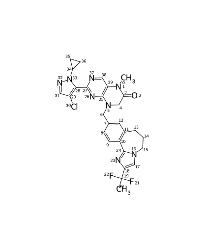 CN1C(=O)CN(Cc2ccc3c(c2)CCCn2cc(C(C)(F)F)nc2-3)c2nc(-c3c(Cl)cnn3C3CC3)ncc21